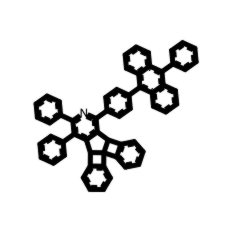 c1ccc(-c2nc(-c3ccc(-c4c5ccccc5c(-c5ccccc5)c5ccccc45)cc3)c3c(c2-c2ccccc2)C2c4ccccc4C24c2ccccc2C34)cc1